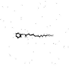 CCCCCCCCCCCCCCCCC/C=C/CC(=O)Oc1ccccc1